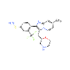 Cc1ccn2c(CC3CNCCO3)c(-c3ccc(SN)cc3C(F)(F)F)nc2c1